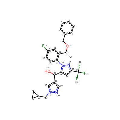 C[C@@H](OCc1ccccc1)c1cc(F)ccc1-n1nc(C(F)(F)F)cc1C(O)c1cnn(CC2CC2)c1